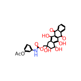 CC(=O)Oc1cccc(NC(=O)OCC2(O)Cc3c(O)c4c(c(O)c3[C@@H](O)C2)C(=O)c2ccccc2C4=O)c1